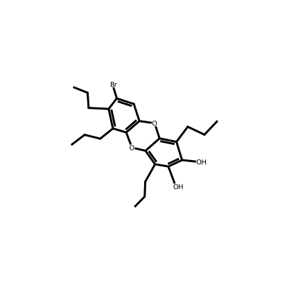 CCCc1c(Br)cc2c(c1CCC)Oc1c(CCC)c(O)c(O)c(CCC)c1O2